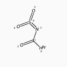 CCCC(=O)N=S(=O)=O